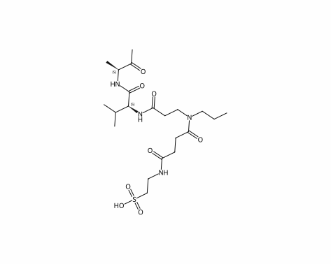 CCCN(CCC(=O)N[C@H](C(=O)N[C@@H](C)C(C)=O)C(C)C)C(=O)CCC(=O)NCCS(=O)(=O)O